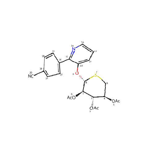 CC(=O)O[C@@H]1[C@@H](OC(C)=O)[C@H](OC(C)=O)CS[C@H]1Oc1cccnc1-c1ccc(C#N)cc1